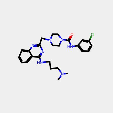 CN(C)CCCNc1nc(CN2CCN(C(=O)Nc3cccc(Cl)c3)CC2)nc2ccccc12